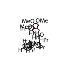 COc1cc(CC(Nc2cccc(C(C)C)c2)C(=O)NC(C(=O)N[C@@H](CC(C)C)B2O[C@@H]3C[C@@H]4C[C@@H](C4(C)C)[C@]3(C)O2)C(C)C)cc(OC)c1OC